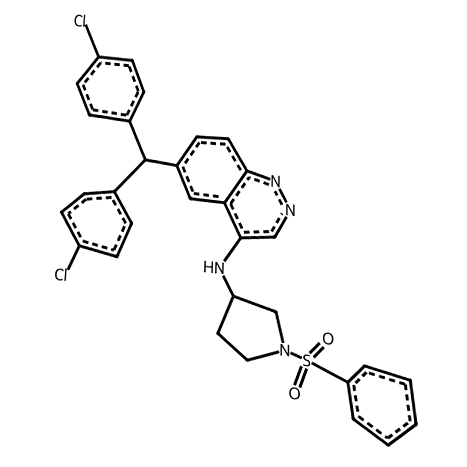 O=S(=O)(c1ccccc1)N1CCC(Nc2cnnc3ccc(C(c4ccc(Cl)cc4)c4ccc(Cl)cc4)cc23)C1